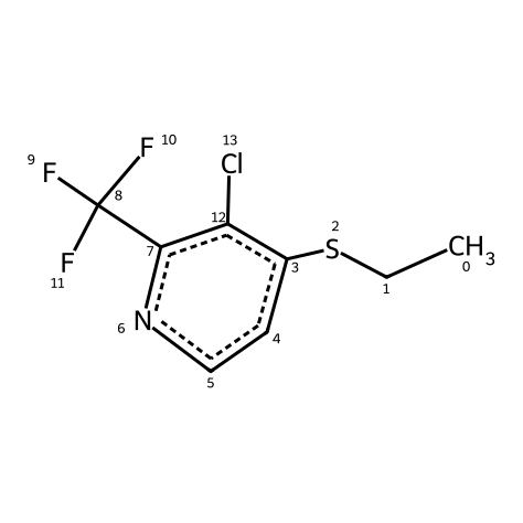 CCSc1ccnc(C(F)(F)F)c1Cl